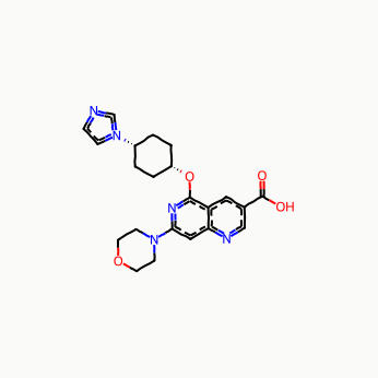 O=C(O)c1cnc2cc(N3CCOCC3)nc(O[C@H]3CC[C@@H](n4ccnc4)CC3)c2c1